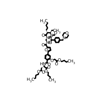 CCCCC[C@@H](C(=O)NCNC(=O)c1ccc(-c2ccc(C(=O)N[C@@H](CC(=O)OCCCC)C(=O)OCCCC)c(OCC(=O)OCCCC)c2)o1)[C@@H](CC)N(C=O)OC(=O)c1ccc(CN2CCOCC2)cc1